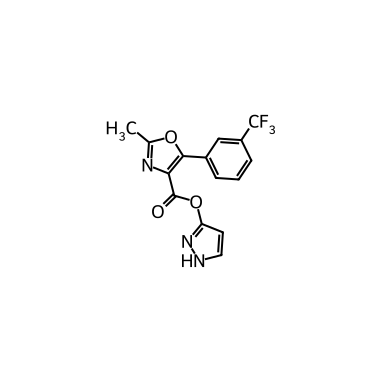 Cc1nc(C(=O)Oc2cc[nH]n2)c(-c2cccc(C(F)(F)F)c2)o1